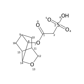 O=C(CS(=O)(=O)O)OC1C2CC3COC1C3C2